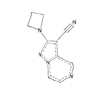 N#Cc1c(N2CCC2)nn2ccncc12